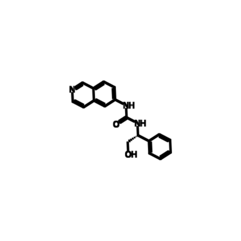 O=C(Nc1ccc2cnccc2c1)N[C@@H](CO)c1ccccc1